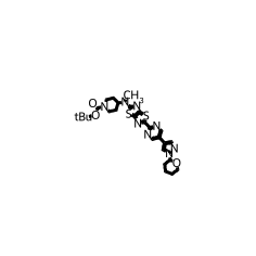 CN(c1nc2sc(-c3ncc(-c4cnn(C5CCCCO5)c4)cn3)nc2s1)C1CCN(C(=O)OC(C)(C)C)CC1